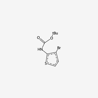 CC(C)(C)OC(=O)Nc1sccc1Br